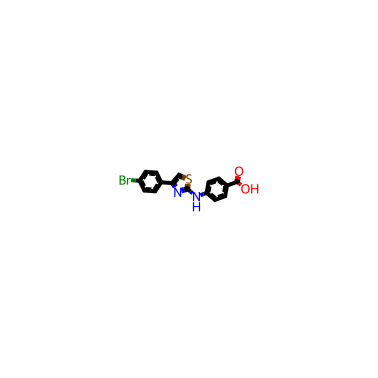 O=C(O)c1ccc(Nc2nc(-c3ccc(Br)cc3)cs2)cc1